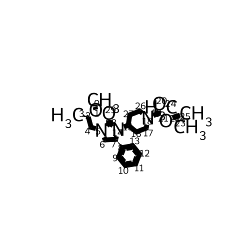 CO[C@@H](C)CN1C[C@@H](c2ccccc2)N(C2CCN(C(=O)OC(C)(C)C)CC2)C1=O